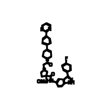 COC1(C(=O)Nc2ccc3[nH]nc(-c4ccc(F)cc4)c3c2)CCN(CC(=O)N2CC=C(c3ccc(-c4ncccn4)cc3)CC2)C1